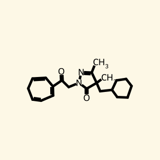 CC1=NN(CC(=O)C2=CC=CCC=C2)C(=O)C1(C)CC1CCCCC1